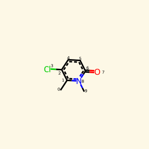 Cc1c(Cl)ccc(=O)n1C